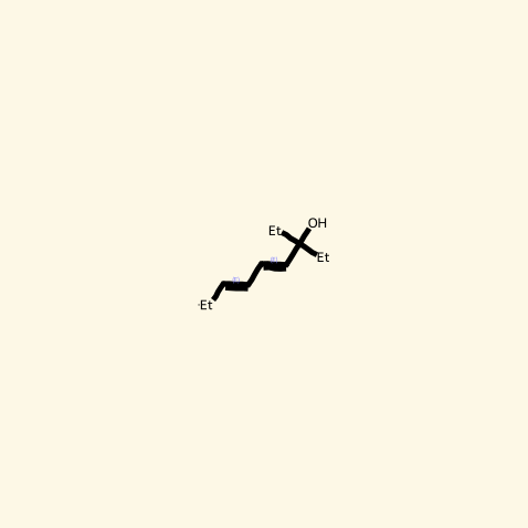 C[CH]/C=C/C=C/C(O)(CC)CC